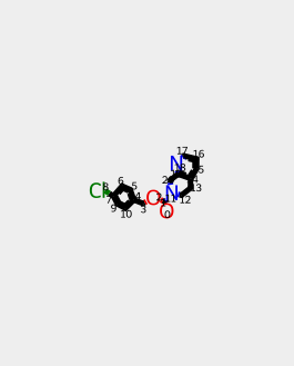 O=C(OCc1ccc(Cl)cc1)N1CCc2cccnc2C1